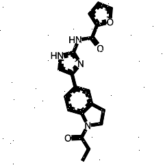 CCC(=O)N1CCc2cc(-c3c[nH]c(NC(=O)c4ccco4)n3)ccc21